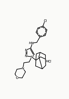 Cl.Clc1ccc(CNC2=C[N+](CCN3CCOCC3)(C34CC5CC(CC(C5)C3)C4)N=N2)cc1